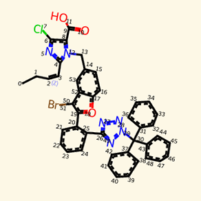 CC/C=C\c1nc(Cl)c(C(=O)O)n1Cc1ccc2oc(-c3ccccc3-c3nnn(C(c4ccccc4)(c4ccccc4)c4ccccc4)n3)c(Br)c2c1